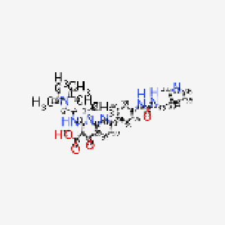 CCn1c(NCCN(C(C)C)C(C)C)c(C(=O)O)c(=O)c2ccc(-c3ccc(NC(=O)NCc4cccnc4)cc3)nc21